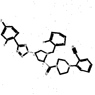 N#Cc1ccccc1N1CCN(C(=O)[C@@H]2C[C@H](n3nnc(-c4ccc(F)cc4F)n3)CN2Cc2ccccc2F)CC1